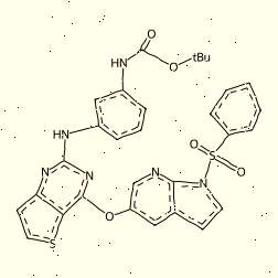 CC(C)(C)OC(=O)Nc1cccc(Nc2nc(Oc3cnc4c(ccn4S(=O)(=O)c4ccccc4)c3)c3sccc3n2)c1